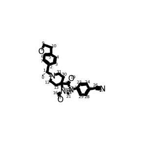 C[C@H](c1ccc2c(c1)OCC2)N1CCC(NC=O)(C(=O)N(C)c2ccc(C#N)cc2)CC1